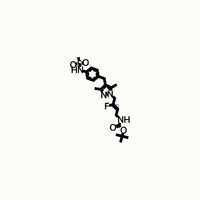 Cc1nn(C/C(F)=C/CNC(=O)OC(C)(C)C)c(C)c1Cc1ccc(NS(C)(=O)=O)cc1